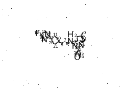 Cc1cc2c(NCCCc3ccc(-c4ncc(F)cn4)cc3)nc(-c3ccoc3)nc2s1